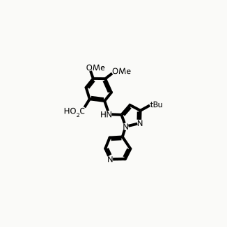 COc1cc(Nc2cc(C(C)(C)C)nn2-c2ccncc2)c(C(=O)O)cc1OC